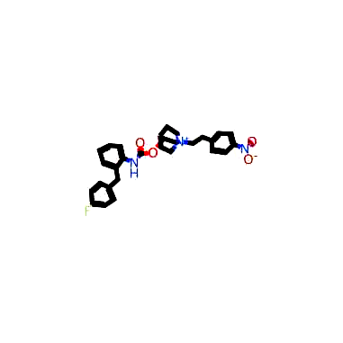 O=C(Nc1ccccc1Cc1ccc(F)cc1)OC1C[N+]2(CCc3ccc([N+](=O)[O-])cc3)CCC1CC2